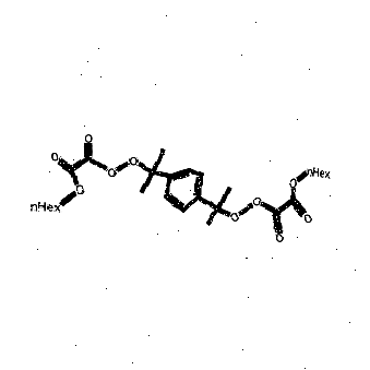 CCCCCCOC(=O)C(=O)OOC(C)(C)c1ccc(C(C)(C)OOC(=O)C(=O)OCCCCCC)cc1